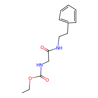 CCOC(=O)NCC(=O)NCCc1ccccc1